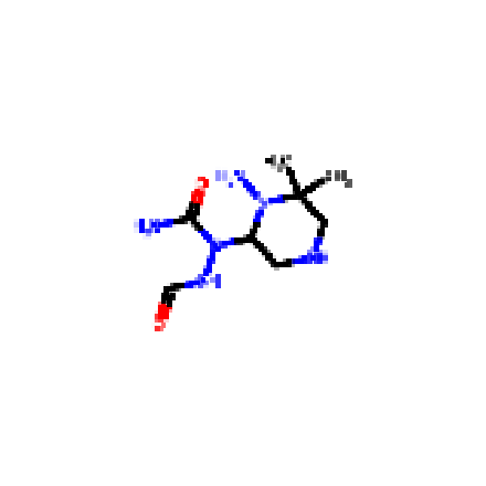 CC1(C)CNCC(N(NC=O)C(N)=O)N1N